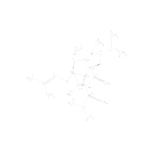 CC(C)=CCC12C[C@H]3C(C)(C)C(C(C)C)C[C@@]3(C(=O)C(C(=O)C(C)C)=C1O)C2=O